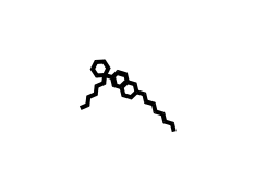 CCCCCCCCC1CCc2cc(C3(CCCCCC)CCCCC3)ccc2C1